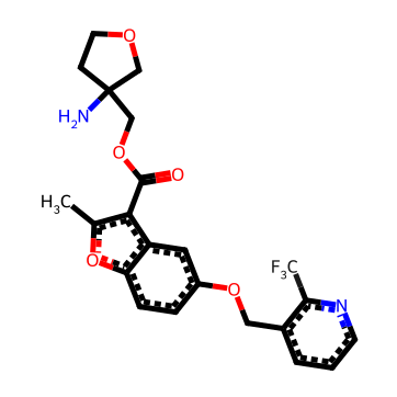 Cc1oc2ccc(OCc3cccnc3C(F)(F)F)cc2c1C(=O)OCC1(N)CCOC1